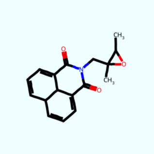 CC1OC1(C)CN1C(=O)C2=CC=CC3C=CC=C(C1=O)C23